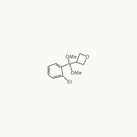 CCc1ccccc1[Si](OC)(OC)C1COC1